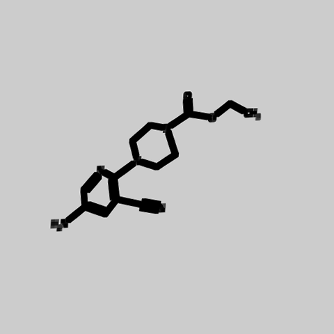 CCOC(=O)N1CCN(c2ncc(N)cc2C#N)CC1